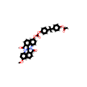 COc1ccc(N2C(=O)c3ccccc3C23c2ccccc2C(=O)N3c2ccc(OC(=O)Oc3ccc(C(C)(C)c4ccc(OC(C)=O)cc4)cc3)cc2)cc1